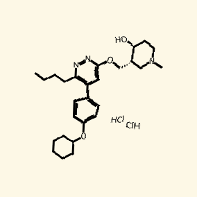 CCCCc1nnc(OC[C@H]2CN(C)CC[C@@H]2O)cc1-c1ccc(OC2CCCCC2)cc1.Cl.Cl